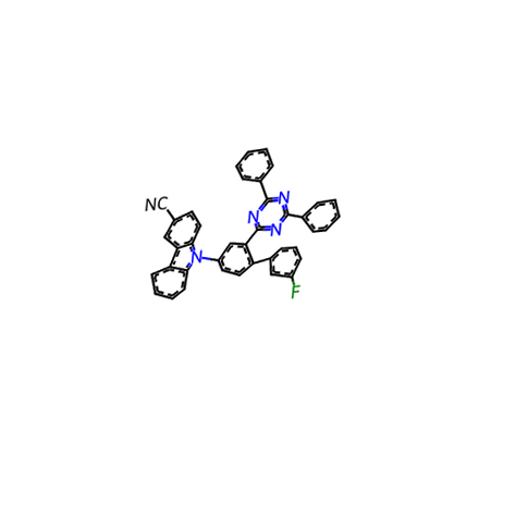 N#Cc1ccc2c(c1)c1ccccc1n2-c1ccc(-c2cccc(F)c2)c(-c2nc(-c3ccccc3)nc(-c3ccccc3)n2)c1